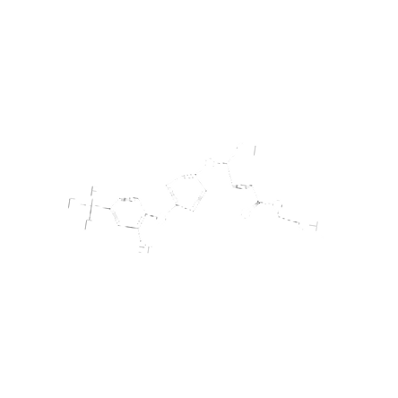 CCOC(=O)/C=C/C(C)Oc1ccc(Oc2ccc(C(F)(F)F)cc2Br)cc1